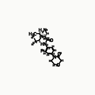 CCN(CC(F)F)[C@H](CN)C(=O)Nc1ccc(N2CCOCC2=O)cc1F